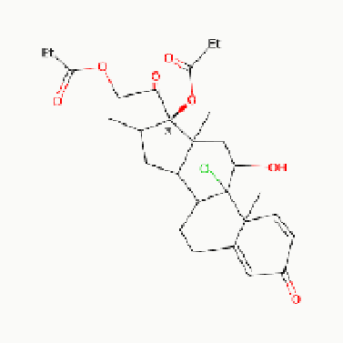 CCC(=O)OCC(=O)[C@@]1(OC(=O)CC)C(C)CC2C3CCC4=CC(=O)C=CC4(C)C3(Cl)C(O)CC21C